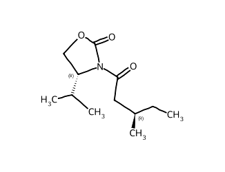 CC[C@@H](C)CC(=O)N1C(=O)OC[C@H]1C(C)C